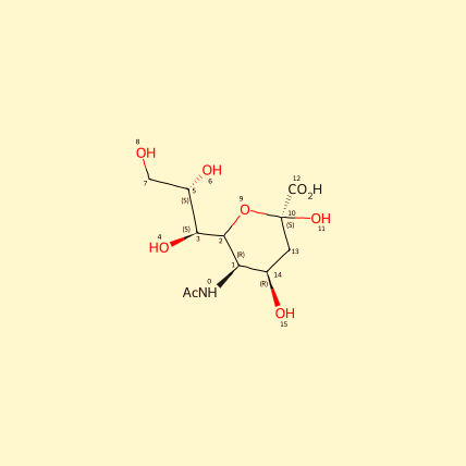 CC(=O)N[C@H]1C([C@@H](O)[C@@H](O)CO)O[C@](O)(C(=O)O)C[C@H]1O